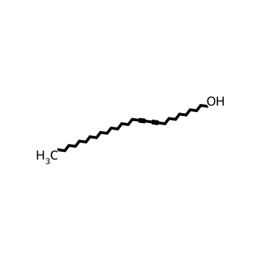 CCCCCCCCCCCCCCCCC#CC#CCCCCCCCCCO